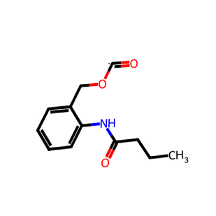 CCCC(=O)Nc1ccccc1CO[C]=O